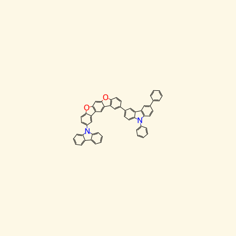 c1ccc(-c2ccc3c(c2)c2cc(-c4ccc5oc6cc7oc8ccc(-n9c%10ccccc%10c%10ccccc%109)cc8c7cc6c5c4)ccc2n3-c2ccccc2)cc1